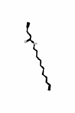 C#CCCC(=O)NCCCCCCCCCC=C